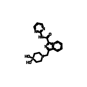 O=C(Nc1ncccn1)c1nc(CN2CCS(O)(O)CC2)c2ccccn12